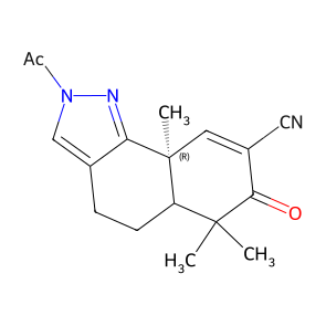 CC(=O)n1cc2c(n1)[C@@]1(C)C=C(C#N)C(=O)C(C)(C)C1CC2